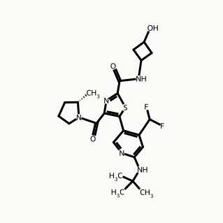 C[C@H]1CCCN1C(=O)c1nc(C(=O)NC2CC(O)C2)sc1-c1cnc(NC(C)(C)C)cc1C(F)F